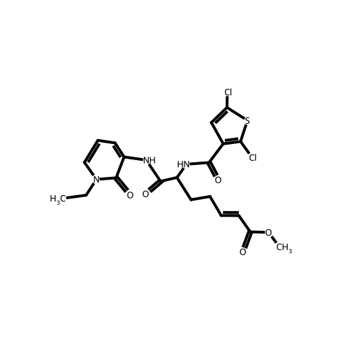 CCn1cccc(NC(=O)C(CC/C=C/C(=O)OC)NC(=O)c2cc(Cl)sc2Cl)c1=O